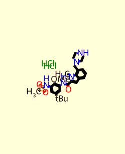 COc1c(NC(=O)c2cc3cccc(CN4CCNCC4)c3n2C)cc(C(C)(C)C)cc1NS(C)(=O)=O.Cl.Cl